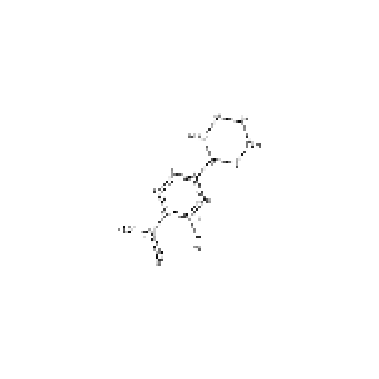 O=[N+]([O-])c1ccc(C2C[N]CCO2)cc1F